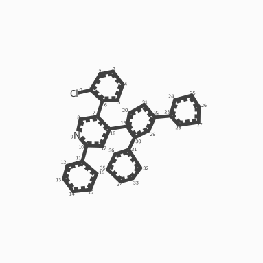 Clc1ccccc1-c1cnc(-c2ccccc2)cc1-c1ccc(-c2ccccc2)cc1-c1ccccc1